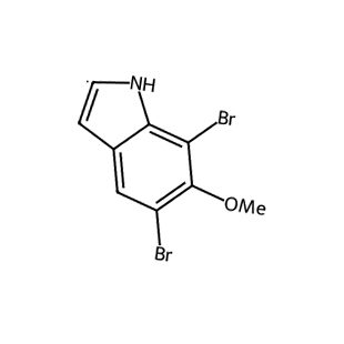 COc1c(Br)cc2c[c][nH]c2c1Br